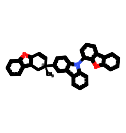 C[C@@]1(c2ccc3c(c2)c2ccccc2n3-c2cccc3c2oc2ccccc23)C=Cc2oc3ccccc3c2C1